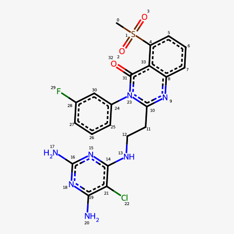 CS(=O)(=O)c1cccc2nc(CCNc3nc(N)nc(N)c3Cl)n(-c3cccc(F)c3)c(=O)c12